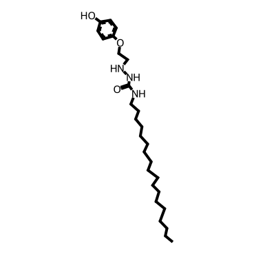 CCCCCCCCCCCCCCCCCCNC(=O)NNCCOc1ccc(O)cc1